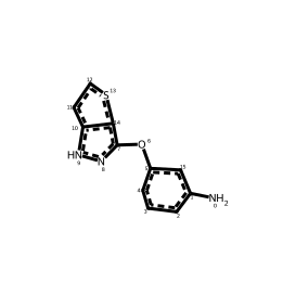 Nc1cccc(Oc2n[nH]c3ccsc23)c1